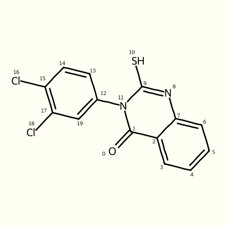 O=c1c2ccccc2nc(S)n1-c1ccc(Cl)c(Cl)c1